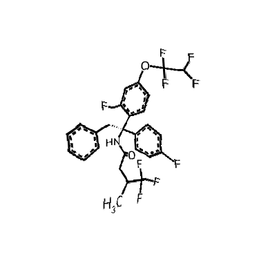 CC(CC(=O)N[C@](Cc1ccccc1)(c1ccc(F)cc1)c1ccc(OC(F)(F)C(F)F)cc1F)C(F)(F)F